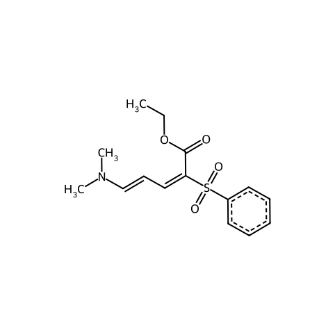 CCOC(=O)C(=CC=CN(C)C)S(=O)(=O)c1ccccc1